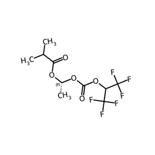 CC(C)C(=O)O[C@@H](C)OC(=O)OC(C(F)(F)F)C(F)(F)F